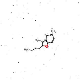 CCCCc1oc2ccc(C)cc2c1C